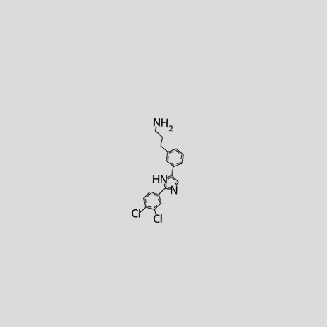 NCCCc1cccc(-c2cnc(-c3ccc(Cl)c(Cl)c3)[nH]2)c1